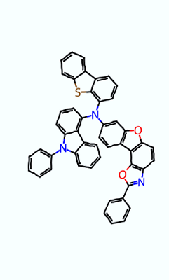 c1ccc(-c2nc3ccc4oc5cc(N(c6cccc7c6sc6ccccc67)c6cccc7c6c6ccccc6n7-c6ccccc6)ccc5c4c3o2)cc1